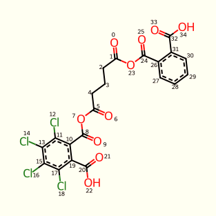 O=C(CCCC(=O)OC(=O)c1c(Cl)c(Cl)c(Cl)c(Cl)c1C(=O)O)OC(=O)c1ccccc1C(=O)O